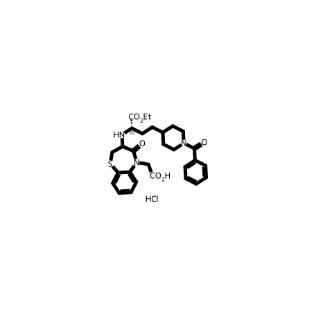 CCOC(=O)[C@H](CCC1CCN(C(=O)c2ccccc2)CC1)NC1CSc2ccccc2N(CC(=O)O)C1=O.Cl